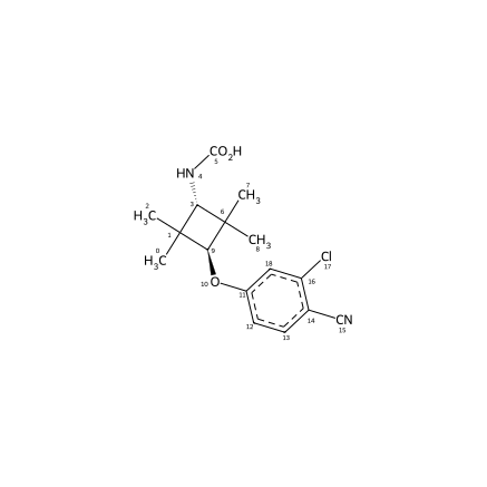 CC1(C)[C@H](NC(=O)O)C(C)(C)[C@H]1Oc1ccc(C#N)c(Cl)c1